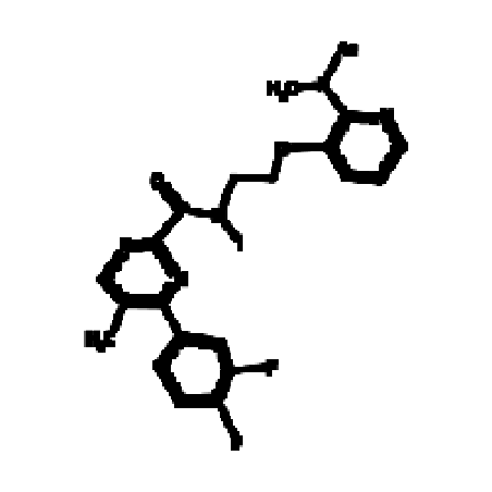 CC(=O)N(C)c1ncccc1OCCN(I)C(=O)c1ncc(C)c(-c2ccc(F)c(F)c2)n1